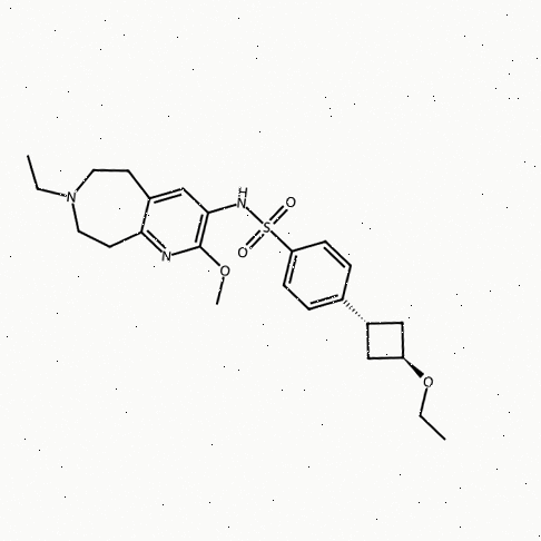 CCO[C@H]1C[C@H](c2ccc(S(=O)(=O)Nc3cc4c(nc3OC)CCN(CC)CC4)cc2)C1